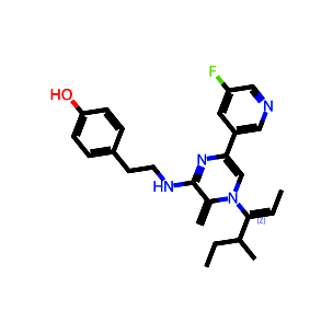 C=C1C(NCCc2ccc(O)cc2)=NC(c2cncc(F)c2)=CN1/C(=C\C)C(C)CC